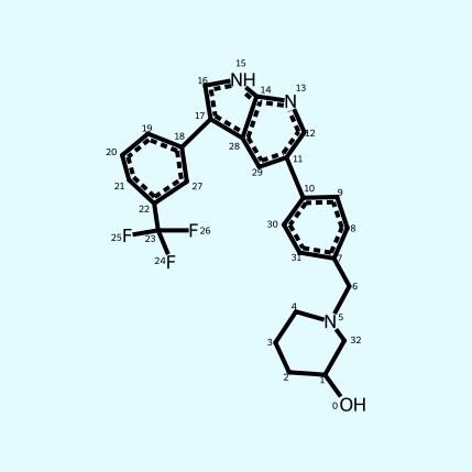 OC1CCCN(Cc2ccc(-c3cnc4[nH]cc(-c5cccc(C(F)(F)F)c5)c4c3)cc2)C1